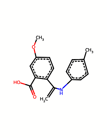 C=C(Nc1ccc(C)cc1)c1ccc(OC)cc1C(=O)O